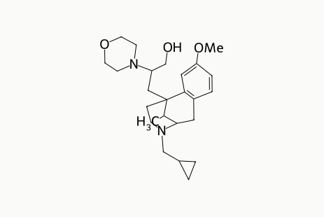 COc1ccc2c(c1)C1(CC(CO)N3CCOCC3)CCN(CC3CC3)C(C2)C1C